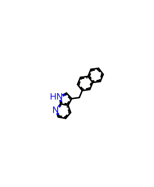 c1ccc2cc(Cc3c[nH]c4ncccc34)ccc2c1